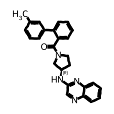 Cc1cccc(-c2ccccc2C(=O)N2CC[C@@H](Nc3cnc4ccccc4n3)C2)c1